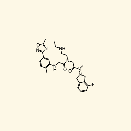 CCNCCN(CC(=O)N(C)N1Cc2cccc(F)c2C1)C(=O)CNc1cc(-c2noc(C)n2)ccc1C